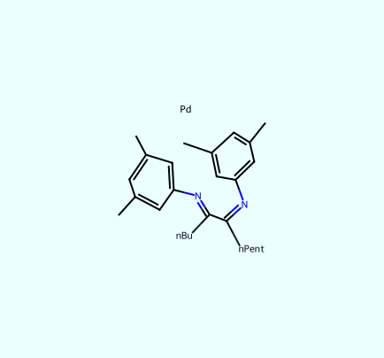 CCCCCC(=Nc1cc(C)cc(C)c1)C(CCCC)=Nc1cc(C)cc(C)c1.[Pd]